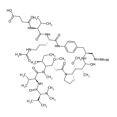 CC[C@H](C)C([C@@H](CC(=O)N1CCC[C@H]1[C@H](OC)[C@@H](C)C(O)N[C@H](CN=[N+]=[N-])Cc1ccc(NC(=O)[C@H](CCCNC(N)=O)NC(=O)[C@@H](NC(=O)CCC(=O)O)C(C)C)cc1)OC)N(C)C(=O)[C@@H](NC(=O)[C@H](C(C)C)N(C)C)C(C)C